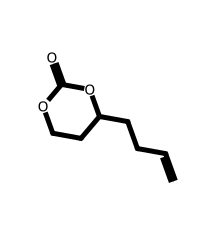 C=CCCC1CCOC(=O)O1